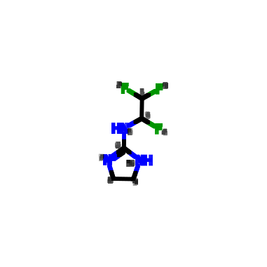 FC(F)C(F)NC1=NCCN1